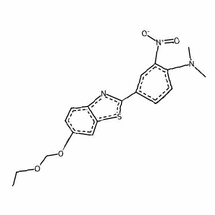 CCOCOc1ccc2nc(-c3ccc(N(C)C)c([N+](=O)[O-])c3)sc2c1